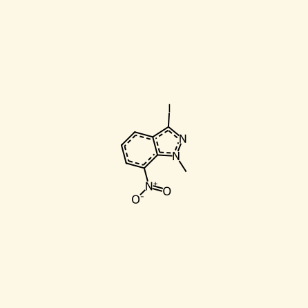 Cn1nc(I)c2cccc([N+](=O)[O-])c21